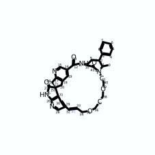 CC1C(c2ccccc2)CC2NC(=O)c3cnc4c(c3)C[C@@]3(C4)C(=O)Nc4ncc(cc43)/C=C/COCCCOCCN1C2=O